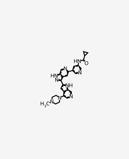 CN1CCN(c2cncc3[nH]c(-c4n[nH]c5cnc(-c6cncc(NC(=O)C7CC7)c6)cc45)cc23)CC1